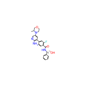 CC1COCCN1c1cnc(N)c(-c2ccc(C(=O)N[C@H](CO)c3ccccc3)c(F)c2)c1